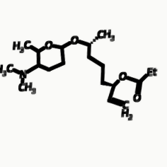 C=C[C@@H](CCC[C@@H](C)OC1CCC(N(C)C)C(C)O1)OC(=O)CC